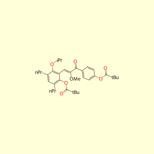 CCCc1cc(CCC)c(OC(C)C)c(C=C(OC)C(=O)c2ccc(OC(=O)C(C)(C)C)cc2)c1OC(=O)C(C)(C)C